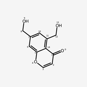 O=c1ccoc2cc(CO)cc(CO)c12